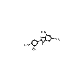 Nc1cc2[nH]c(-c3ccc(O)c(O)c3)nc2c(N)n1